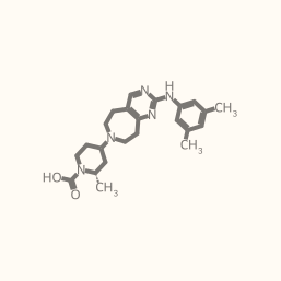 Cc1cc(C)cc(Nc2ncc3c(n2)CCN(C2CCN(C(=O)O)[C@@H](C)C2)CC3)c1